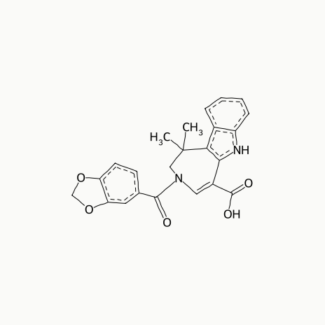 CC1(C)CN(C(=O)c2ccc3c(c2)OCO3)C=C(C(=O)O)c2[nH]c3ccccc3c21